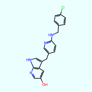 Oc1cnc2[nH]cc(Cc3ccc(NCc4ccc(Cl)cc4)nc3)c2c1